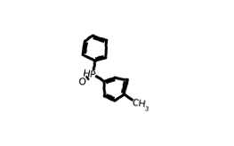 Cc1ccc([PH](=O)c2ccccc2)cc1